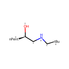 CCCCC[C@@H](O)CNCC(C)(C)C